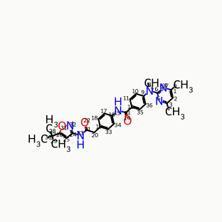 Cc1cc(C)nc(N(C)c2ccc(C(=O)Nc3ccc(CC(=O)Nc4cc(C(C)(C)C)on4)cc3)cc2)n1